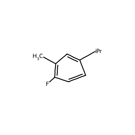 Cc1cc(C(C)C)ccc1F